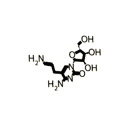 NC=CCc1cn([C@@H]2O[C@H](CO)[C@@H](O)[C@H]2O)c(=O)nc1N